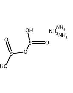 N.N.N.O=S(O)OS(=O)O